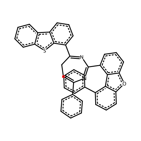 C1=C(c2ccccc2)N=C(c2cccc3oc4cccc(-c5ccccc5)c4c23)N=C(c2cccc3c2sc2ccccc23)C1